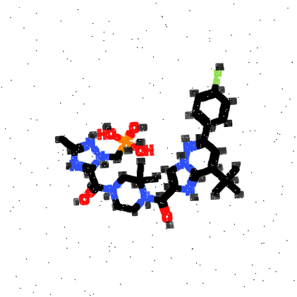 Cc1nc(C(=O)N2CCN(C(=O)c3cn4nc(-c5ccc(F)cc5)cc(C(C)(C)C)c4n3)C(C)(C)C2)n(CP(=O)(O)O)n1